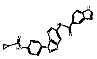 O=C(Nc1ccc2c(cnn2-c2ccc(NC(=O)C3CC3)cc2)c1)c1ccc2[nH]ccc2c1